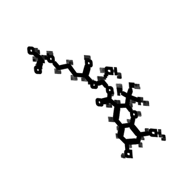 Cc1cc(Cl)cc2c1OC(C(F)(F)F)C(C(=O)O[C@@H](C)OC(=O)CCCO[N+](=O)[O-])=C2